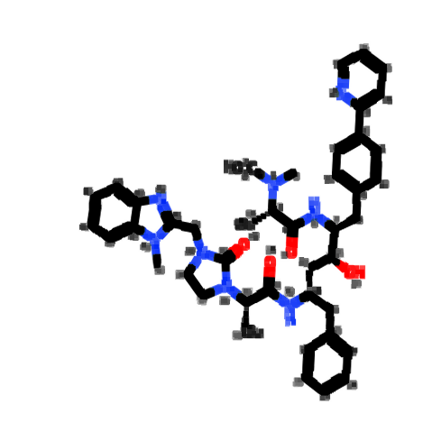 CN(C(=O)O)[C@H](C(=O)N[C@@H](Cc1ccc(-c2ccccn2)cc1)[C@@H](O)C[C@H](Cc1ccccc1)NC(=O)[C@@H](N1CCN(Cc2nc3ccccc3n2C)C1=O)C(C)(C)C)C(C)(C)C